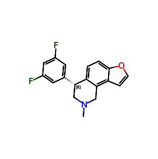 CN1Cc2c(ccc3occc23)[C@@H](c2cc(F)cc(F)c2)C1